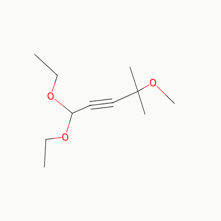 CCOC(C#CC(C)(C)OC)OCC